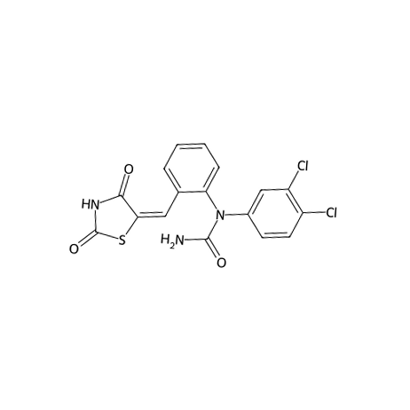 NC(=O)N(c1ccc(Cl)c(Cl)c1)c1ccccc1C=C1SC(=O)NC1=O